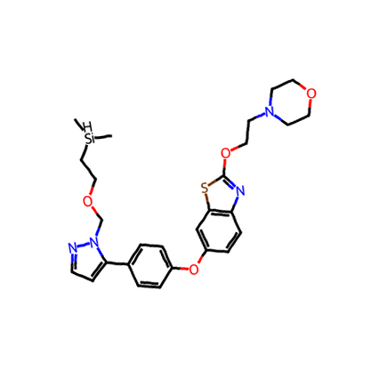 C[SiH](C)CCOCn1nccc1-c1ccc(Oc2ccc3nc(OCCN4CCOCC4)sc3c2)cc1